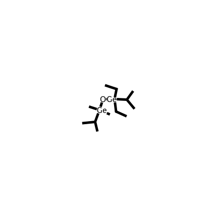 C[CH2][Ge]([CH2]C)([O][Ge]([CH3])([CH3])[CH](C)C)[CH](C)C